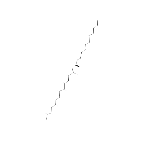 CCCCCCCCCCCC(=O)OC(O)CCCCCCCCCCCO